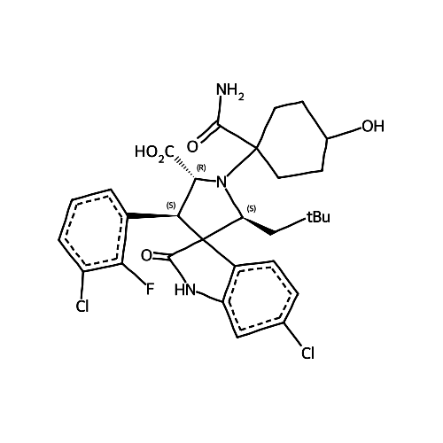 CC(C)(C)C[C@@H]1N(C2(C(N)=O)CCC(O)CC2)[C@@H](C(=O)O)[C@H](c2cccc(Cl)c2F)C12C(=O)Nc1cc(Cl)ccc12